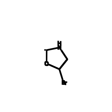 BrC1CN[CH]O1